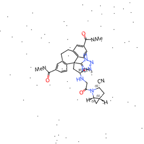 CNC(=O)c1ccc2c(c1)CCc1cc(C(=O)NC)ccc1C2(C[C@@H](C)NCC(=O)N1[C@H](C#N)C[C@@H]2C[C@@H]21)c1nnn[nH]1